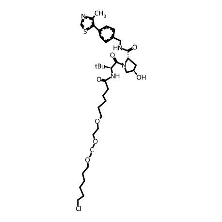 Cc1ncsc1-c1ccc(CNC(=O)[C@@H]2C[C@@H](O)CN2C(=O)[C@@H](NC(=O)CCCCCOCCOCCOCCCCCCCl)C(C)(C)C)cc1